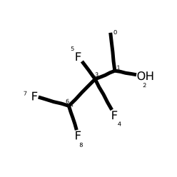 CC(O)C(F)(F)[C](F)F